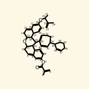 C=C(C)C(=O)OC1=CC2=CCC3OC4CC=C5C=C(OC(C)C(=C)C)C=CC5C4C(C4=CCCC(C5C=CCCC5)C=C4)C3C2C=C1